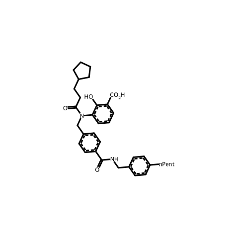 CCCCCc1ccc(CNC(=O)c2ccc(CN(C(=O)CCC3CCCC3)c3cccc(C(=O)O)c3O)cc2)cc1